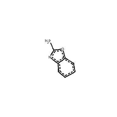 Pc1nc2ccccc2o1